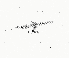 CCCCCCCCC=CCCCCCCCC(=O)N(C(=O)CCCCCCCC=CCCCCCCCC)C(=O)CCCN(C)C